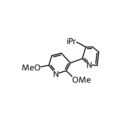 COc1ccc(-c2ncccc2C(C)C)c(OC)n1